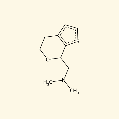 CN(C)CC1OCCc2ccsc21